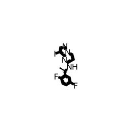 C[C@@H](Nc1ccn2ncc(I)c2n1)c1cc(F)ccc1F